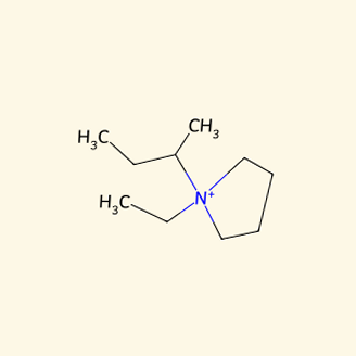 CCC(C)[N+]1(CC)CCCC1